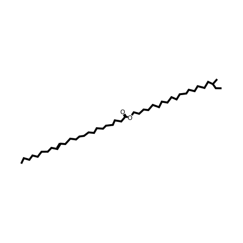 CCCCCCCCC=CCCCCCCCCCCCCCC(=O)OCCCCCCCCCCCCCCCCCC(C)CC